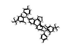 CCCCC1CC[C@@]23CCC[C@@]12c1cc(N(c2ccc(C)cc2)c2c(C)cc(C(C)(C)C)cc2C)ccc1-c1ccc(N(c2ccc(C)cc2)c2c(C)cc(C(C)(C)C)cc2C)cc13